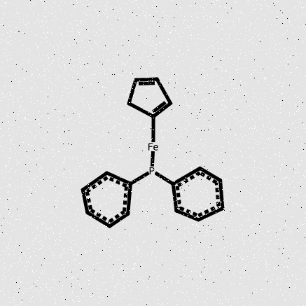 C1=CC[C]([Fe][P](c2ccccc2)c2ccccc2)=C1